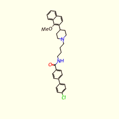 COc1c(C2CCN(CCCCNC(=O)c3ccc(-c4ccc(Cl)cc4)cc3)CC2)ccc2ccccc12